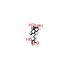 C=C1CC[C@@H]2[C@](C)(CO)[C@H](O)CC[C@@]2(C)[C@@H]1CC/C=C1/C(=O)OC[C@H]1O